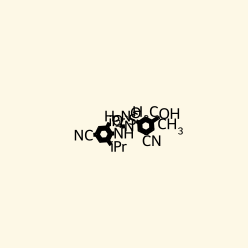 CC(C)c1cc(C#N)cc(C(C)C)c1NC(=O)N=[S@@](N)(=O)c1cc(C#N)cc(C(C)(C)O)c1